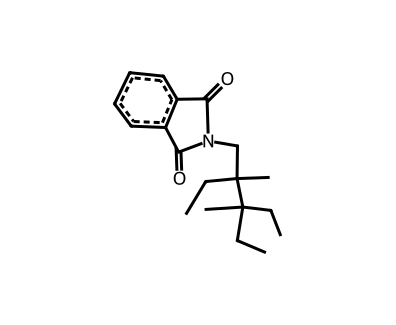 CCC(C)(CC)C(C)(CC)CN1C(=O)c2ccccc2C1=O